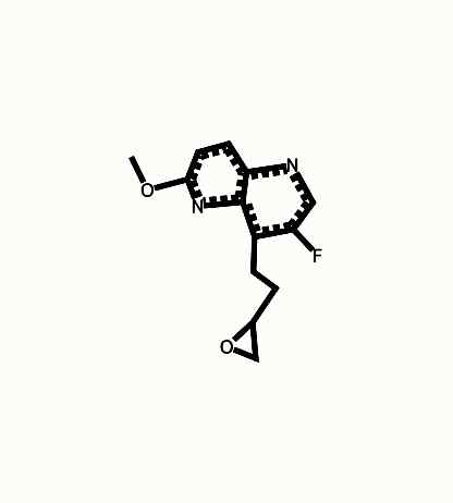 COc1ccc2ncc(F)c(CCC3CO3)c2n1